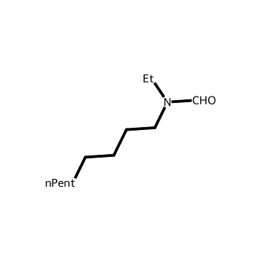 CCCCCCCCCN(C=O)CC